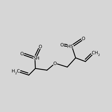 C=CC(COCC(C=C)[SH](=O)=O)[SH](=O)=O